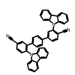 N#Cc1ccc(-n2c3ccccc3c3ccccc32)c(-c2ccc(-c3ccc(C#N)c(-n4c5ccccc5c5ccccc54)c3)cc2)c1